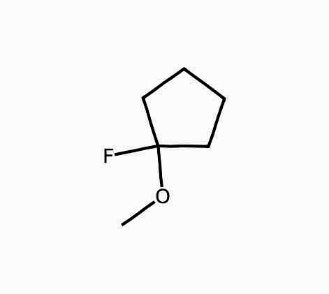 COC1(F)CCCC1